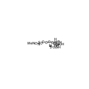 CNc1ccc(-c2nc3ccc(OCCOCCOCCOCC(=O)NC(C(=O)N4C[C@H](O)C[C@H]4C(=O)NC(C)c4ccc(-c5scnc5C)cc4)C(C)(C)C)cc3s2)cc1